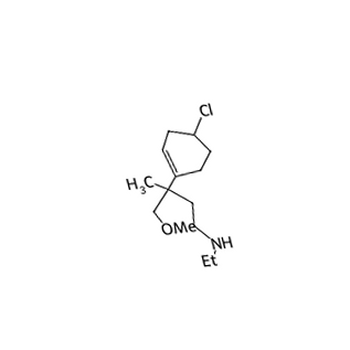 CCNCCC(C)(COC)C1=CCC(Cl)CC1